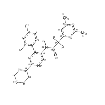 Cc1cc(F)ccc1-c1cc(C2=CCSCC2)ncc1N(C)C(=O)C(C)(C)c1cc(C(F)(F)F)cc(C(F)(F)F)c1